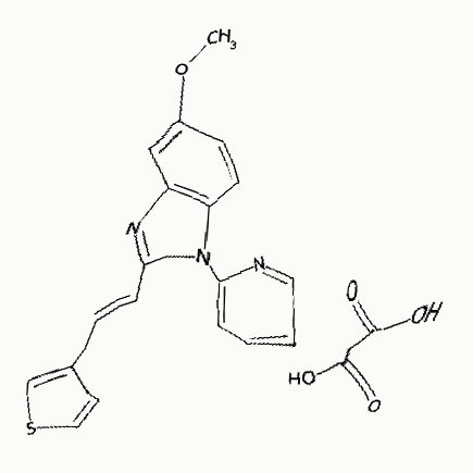 COc1ccc2c(c1)nc(C=Cc1ccsc1)n2-c1ccccn1.O=C(O)C(=O)O